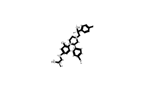 Cc1ccc([C@](C)(O)CN2CCN(c3ccc(OC[C@@H](C)O)cc3Cl)[C@H](c3ccc(F)cc3)C2)cc1